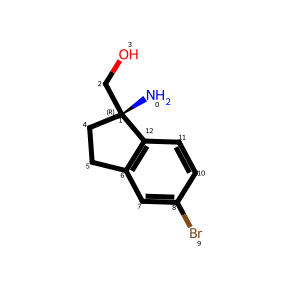 N[C@]1(CO)CCc2cc(Br)ccc21